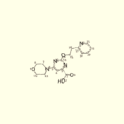 O=C(O)c1cc(N2CCOCC2)nc(OCCc2ccccn2)n1